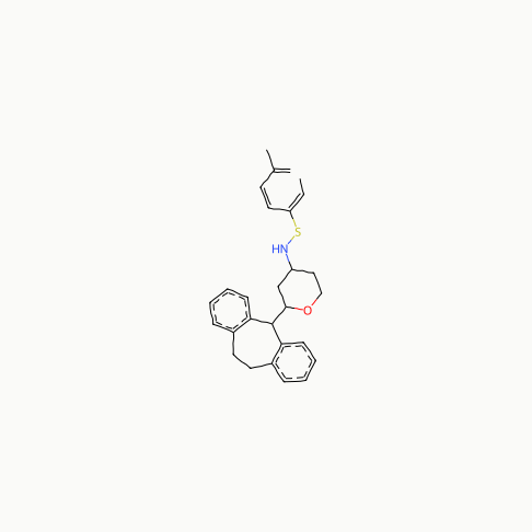 C=C(C)/C=C\C(=C/C)SNC1CCOC(C2c3ccccc3CCc3ccccc32)C1